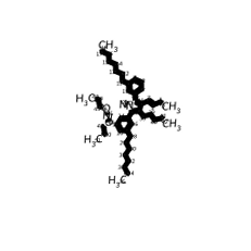 CCC=CC1=C(c2cccc(CCCCCCCC)c2)[N+](=[N-])C(c2cccc(CCCCCCCC)c2)=C1CCCCC.CCC[O][Ni][O]CCC